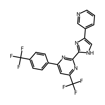 FC(F)(F)c1ccc(-c2cc(C(F)(F)F)nc(-c3nc(-c4cccnc4)c[nH]3)n2)cc1